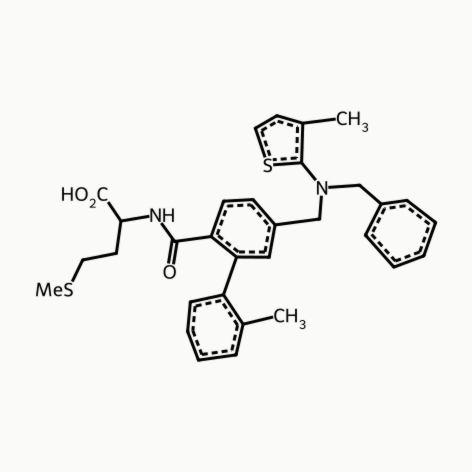 CSCCC(NC(=O)c1ccc(CN(Cc2ccccc2)c2sccc2C)cc1-c1ccccc1C)C(=O)O